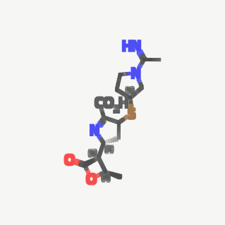 CC(=N)N1CC[C@H](SC2C[C@H]([C@@H]3C(=O)O[C@@H]3C)N=C2C(=O)O)C1